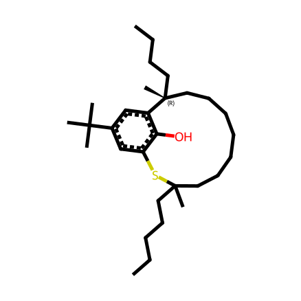 CCCCCC1(C)CCCCCCC[C@@](C)(CCCC)c2cc(C(C)(C)C)cc(c2O)S1